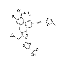 Cc1ccc(C#Cc2cccc(-c3nn(-c4nc(C(=O)O)cs4)c(CC4CC4)c3Cc3ccc([S+](N)[O-])c(F)c3)c2)o1